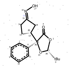 CC(C)(C)[C@H]1OC(=O)[C@](c2ccccc2)([C@@H]2CC/C(=N/O)C2)O1